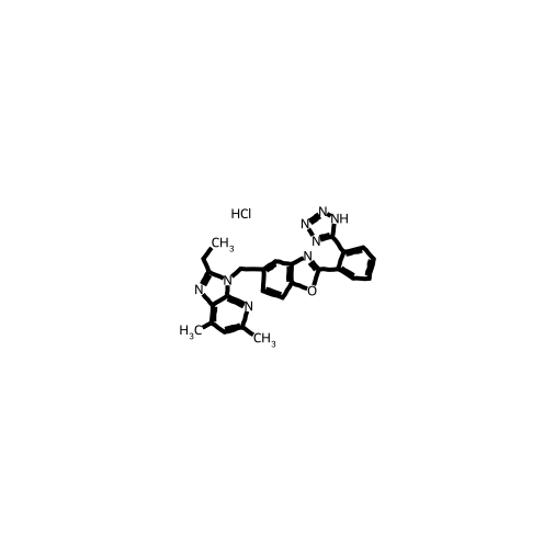 CCc1nc2c(C)cc(C)nc2n1Cc1ccc2oc(-c3ccccc3-c3nnn[nH]3)nc2c1.Cl